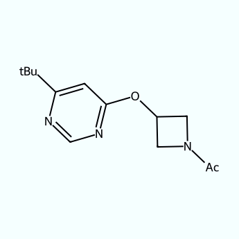 CC(=O)N1CC(Oc2cc(C(C)(C)C)ncn2)C1